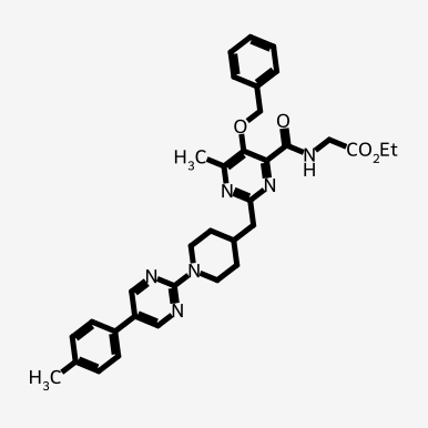 CCOC(=O)CNC(=O)c1nc(CC2CCN(c3ncc(-c4ccc(C)cc4)cn3)CC2)nc(C)c1OCc1ccccc1